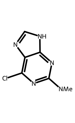 CNc1nc(Cl)c2nc[nH]c2n1